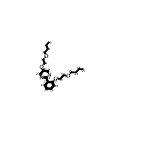 CCCCOCCOc1cnc(-c2ccccc2OCCOCCCC)nc1